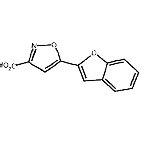 O=C(O)c1cc(-c2cc3ccccc3o2)on1